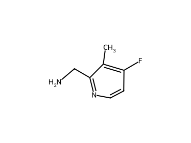 Cc1c(F)ccnc1CN